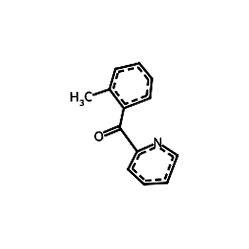 Cc1ccccc1C(=O)c1ccccn1